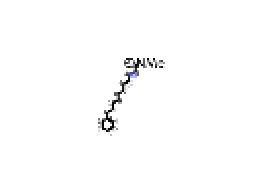 CNC(=O)/C=C/C=C/CCCCCCc1ccccc1